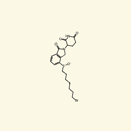 O=C1CCC(N2Cc3c(cccc3[S+]([O-])CCCCCCCBr)C2=O)C(=O)N1